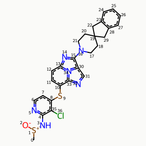 C[S+]([O-])Nc1nccc(Sc2ccc3nc(N4CCC5(CC4)Cc4ccccc4C5)c4cnc2n34)c1Cl